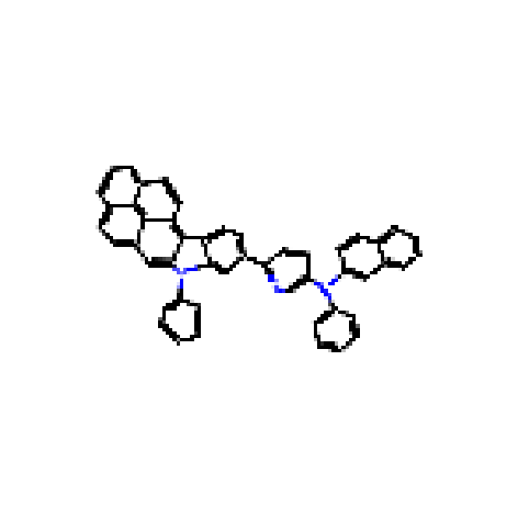 c1ccc(N(c2ccc(-c3ccc4c5c6ccc7cccc8ccc(cc5n(-c5ccccc5)c4c3)c6c87)nc2)c2ccc3ccccc3c2)cc1